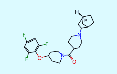 O=C(C1CCN(C2C[C@@H]3CCC2C3)CC1)N1CCC(Oc2c(F)cc(F)cc2F)CC1